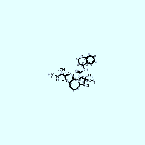 CN[C@@H](C)C(=O)N[C@H]1CCSC2CC(C)(C)[C@@H](C(=O)N[C@@H]3CCOc4ccccc43)N2C1=O.Cl